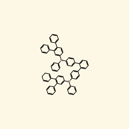 C1=CC(c2ccc(N(c3ccccc3)c3ccc(-c4ccccc4-c4ccc(N(c5ccccc5)c5ccc(-c6ccccc6)c(-c6ccccc6)c5)cc4)cc3)cc2-c2ccccc2)=CCC1